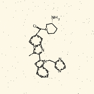 Cc1c(-c2cc3ccccc3n2Cc2cnccn2)nc2cc(C(=O)N3CCC[C@@H](N)C3)ccn12